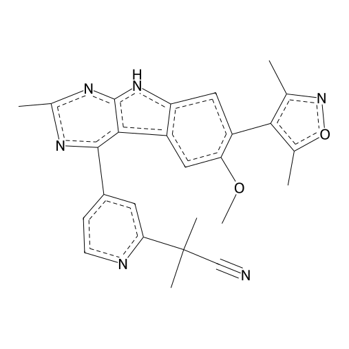 COc1cc2c(cc1-c1c(C)noc1C)[nH]c1nc(C)nc(-c3ccnc(C(C)(C)C#N)c3)c12